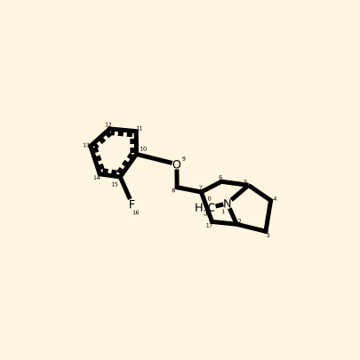 CN1C2CCC1CC(COc1ccccc1F)C2